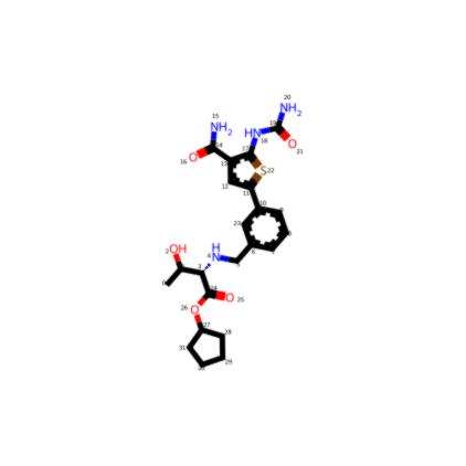 CC(O)[C@H](NCc1cccc(-c2cc(C(N)=O)c(NC(N)=O)s2)c1)C(=O)OC1CCCC1